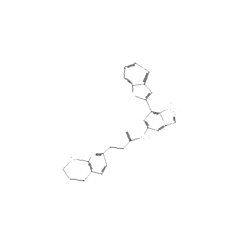 O=C(CCc1ccc2c(n1)NCCC2)Nc1cc(-c2cc3ccccc3s2)c2[nH]ncc2c1